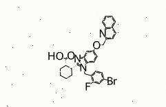 O=C(O)[C@H]1CCCC[C@H]1c1nc2cc(OCc3ccc4ccccc4n3)ccc2n1Cc1ccc(Br)cc1F